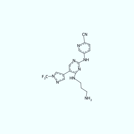 N#Cc1ccc(Nc2ncc(-c3cnn(C(F)(F)F)c3)c(NCCCN)n2)cn1